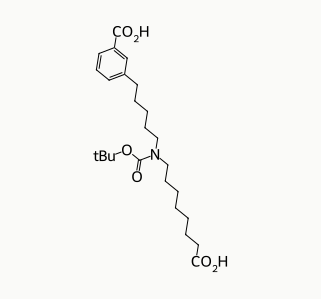 CC(C)(C)OC(=O)N(CCCCCCCC(=O)O)CCCCCc1cccc(C(=O)O)c1